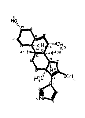 CC1=C(n2ccnc2)[C@@]2(C)CC[C@H]3[C@@H]([C@@H](C)C=C4C[C@@H](O)CC[C@@]43C)[C@@H]2C1